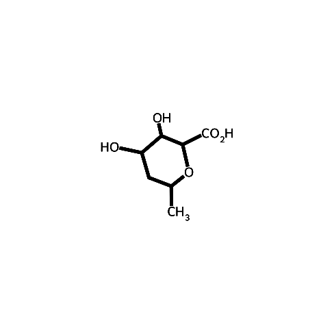 CC1CC(O)C(O)C(C(=O)O)O1